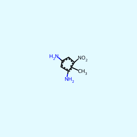 Cc1c(N)cc(N)cc1[N+](=O)[O-]